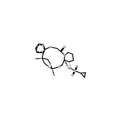 O=C1COc2ncccc2[C@H]2CC[C@H](CC2)OC[C@H]2[C@@H](NS(=O)(=O)C3CC3)CCCN12